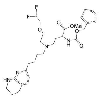 COC(=O)C(CCN(CCCCc1ccc2c(n1)NCCC2)CCOCC(F)F)NC(=O)OCc1ccccc1